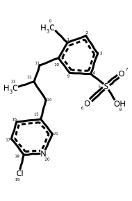 Cc1ccc(S(=O)(=O)O)cc1CC(C)Cc1ccc(Cl)nc1